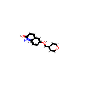 O=c1ccc2cc(OCC3CCOCC3)ccc2[nH]1